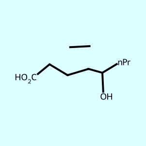 CC.CCCC(O)CCCC(=O)O